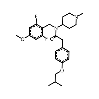 COc1cc(F)c(CN(C(=O)Cc2ccc(OCC(C)C)cc2)C2CCN(C)CC2)c(F)c1